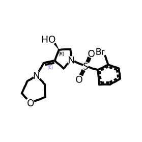 O=S(=O)(c1ccccc1Br)N1C/C(=C\N2CCOCC2)[C@@H](O)C1